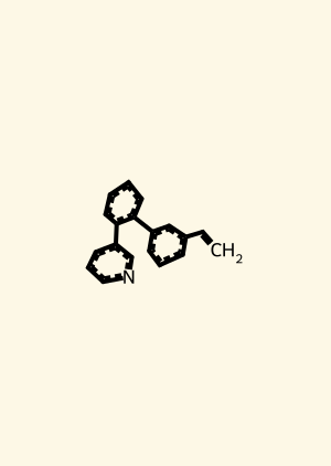 C=Cc1cccc(-c2ccccc2-c2cccnc2)c1